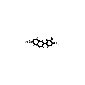 CCCC1CCC2CC(c3ccc(C(F)(F)F)c(F)c3)CCC2C1